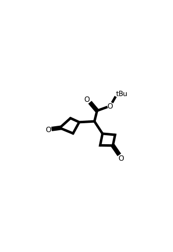 CC(C)(C)OC(=O)C(C1CC(=O)C1)C1CC(=O)C1